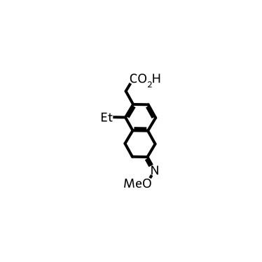 CCc1c(CC(=O)O)ccc2c1CCC(=NOC)C2